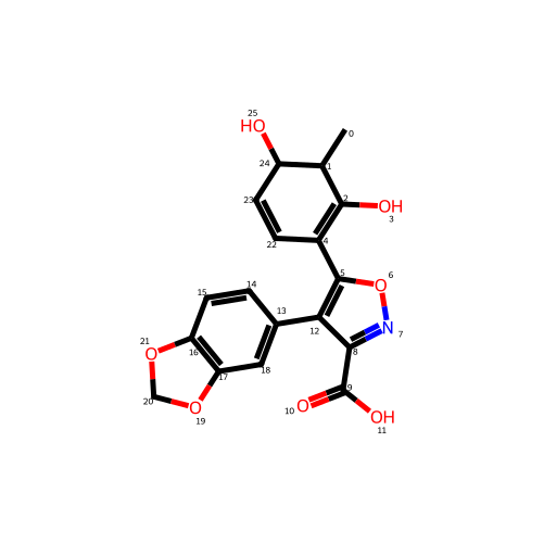 CC1C(O)=C(c2onc(C(=O)O)c2-c2ccc3c(c2)OCO3)C=CC1O